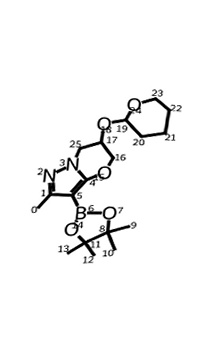 Cc1nn2c(c1B1OC(C)(C)C(C)(C)O1)OCC(OC1CCCCO1)C2